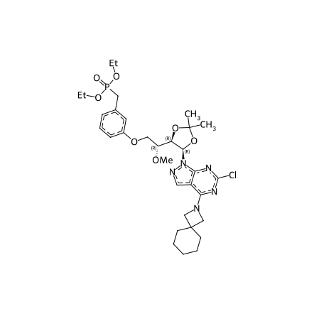 CCOP(=O)(Cc1cccc(OC[C@@H](OC)[C@H]2OC(C)(C)O[C@H]2n2ncc3c(N4CC5(CCCCC5)C4)nc(Cl)nc32)c1)OCC